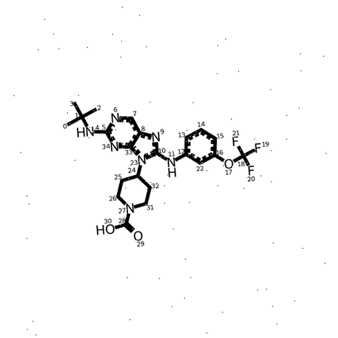 CC(C)(C)Nc1ncc2nc(Nc3cccc(OC(F)(F)F)c3)n(C3CCN(C(=O)O)CC3)c2n1